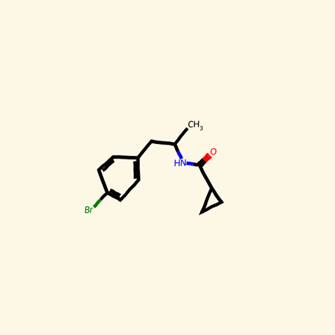 CC(Cc1ccc(Br)cc1)NC(=O)C1CC1